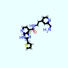 NCc1cc(CCNC(=O)c2ccnc3[nH]c(-c4cccs4)nc23)ccn1